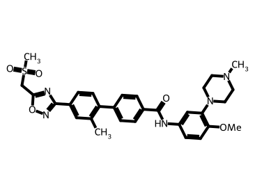 COc1ccc(NC(=O)c2ccc(-c3ccc(-c4noc(CS(C)(=O)=O)n4)cc3C)cc2)cc1N1CCN(C)CC1